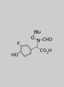 CC(C)(C)ON(C=O)C(C(=O)O)c1ccc(O)c(F)c1